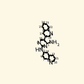 Nc1nc(Nc2ccc3ncccc3c2)ncc1-c1cnc2ccccc2c1